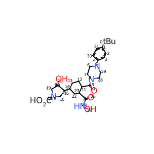 CC(C)(C)c1ccc(N2CCN(C(=O)C3CC[C@H]([C@H]4CN(C(=O)O)C[C@@H]4O)CC3C(=O)NO)CC2)cc1